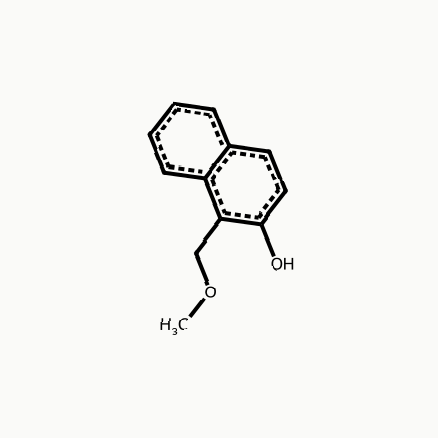 COCc1c(O)ccc2ccccc12